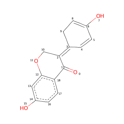 O=C1C(=C2C=CC(O)=CC2)COc2cc(O)ccc21